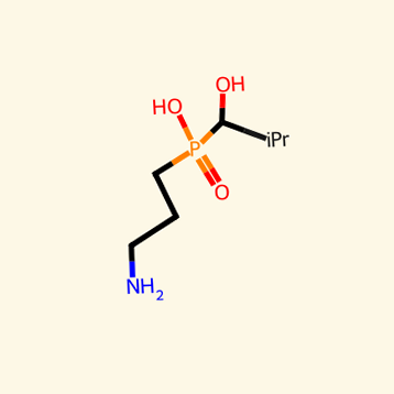 CC(C)C(O)P(=O)(O)CCCN